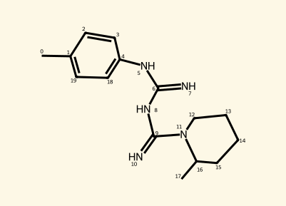 Cc1ccc(NC(=N)NC(=N)N2CCCCC2C)cc1